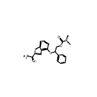 CN(C)C(=O)OCC(Oc1cccc2sc(C(=N)N)cc12)c1ccccc1